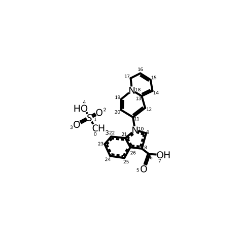 CS(=O)(=O)O.O=C(O)c1cn(C2=CC3=CC=CCN3C=C2)c2ccccc12